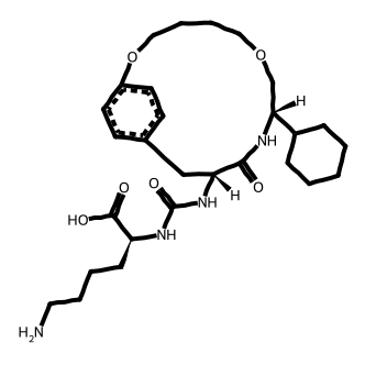 NCCCC[C@H](NC(=O)N[C@@H]1Cc2ccc(cc2)OCCCCOC[C@H](C2CCCCC2)NC1=O)C(=O)O